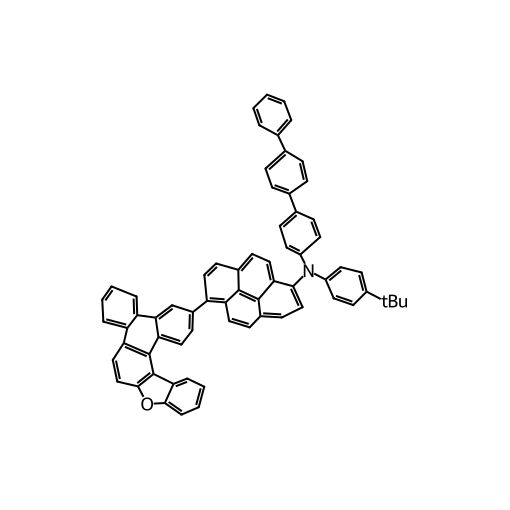 CC(C)(C)c1ccc(N(c2ccc(-c3ccc(-c4ccccc4)cc3)cc2)c2ccc3ccc4c(-c5ccc6c(c5)c5ccccc5c5ccc7oc8ccccc8c7c56)ccc5ccc2c3c54)cc1